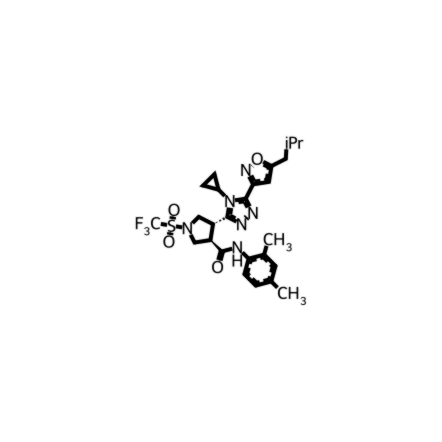 Cc1ccc(NC(=O)[C@H]2CN(S(=O)(=O)C(F)(F)F)C[C@@H]2c2nnc(-c3cc(CC(C)C)on3)n2C2CC2)c(C)c1